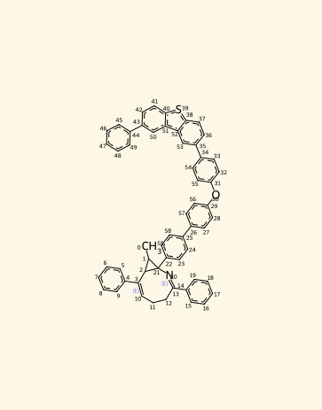 CC1C2/C(c3ccccc3)=C\CC/C(c3ccccc3)=N\C12c1ccc(-c2ccc(Oc3ccc(-c4ccc5sc6ccc(-c7ccccc7)cc6c5c4)cc3)cc2)cc1